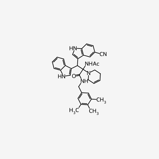 CC(=O)NC(C(=O)NCc1cc(C)c(C)c(C)c1)(C(c1c[nH]c2ccccc12)c1c[nH]c2ccc(C#N)cc12)N1CC=CCC1